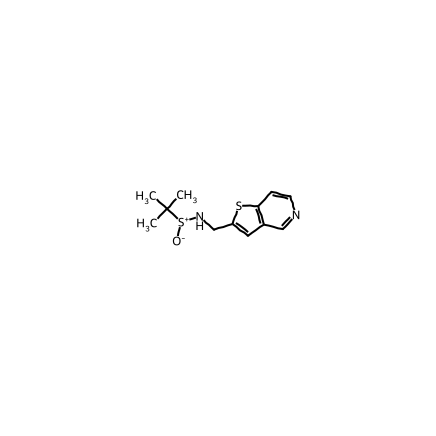 CC(C)(C)[S+]([O-])NCc1cc2cnccc2s1